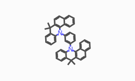 CC1(C)c2ccccc2N(c2cccc(N3c4ccccc4C(C)(C)c4ccc5ccccc5c43)c2)c2c1ccc1ccccc21